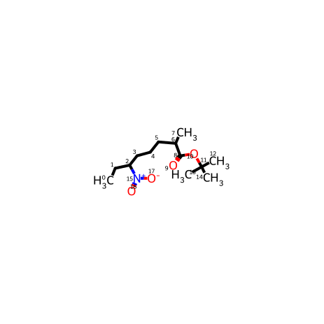 CCC(CCCC(C)C(=O)OC(C)(C)C)[N+](=O)[O-]